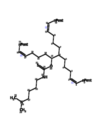 CCCCC/C=C\CCCC(CCC/C=C\CCCCC)C(CCC/C=C\CCCCC)OC(=S)NCCCCN(C)C